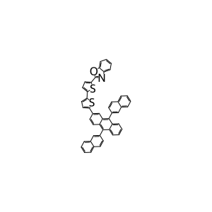 c1ccc2cc(-c3c4ccccc4c(-c4ccc5ccccc5c4)c4cc(-c5ccc(-c6ccc(-c7nc8ccccc8o7)s6)s5)ccc34)ccc2c1